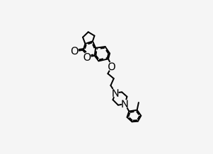 Cc1ccccc1N1CCN(CCCOc2ccc3c4c(c(=O)oc3c2)CCC4)CC1